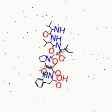 CC[C@H](C)[C@H]([C@@H](CC(=O)N1CCCC1[C@H](OC)[C@@H](C)C(=O)NC(Cc1ccccc1F)C(=O)O)OC)N(C)C(=O)C(NC(=O)C(NC)C(C)C)C(C)C